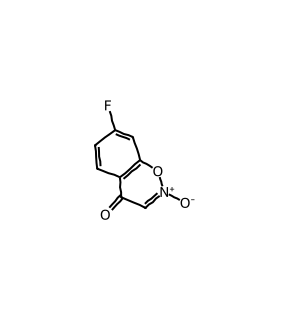 O=c1c[n+]([O-])oc2cc(F)ccc12